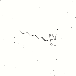 CCCCCC/C=C/C([SiH3])(OC)OC